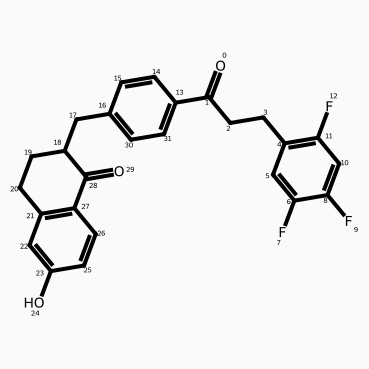 O=C(CCc1cc(F)c(F)cc1F)c1ccc(CC2CCc3cc(O)ccc3C2=O)cc1